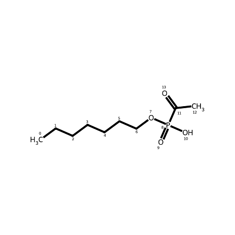 CCCCCCCOP(=O)(O)C(C)=O